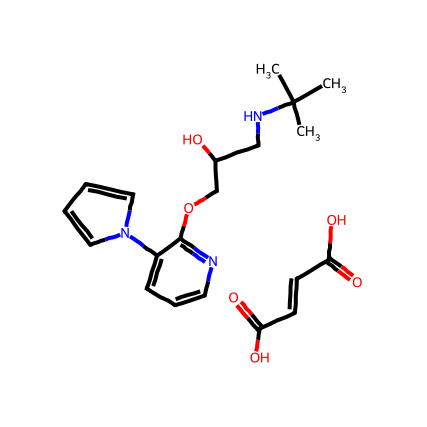 CC(C)(C)NCC(O)COc1ncccc1-n1cccc1.O=C(O)C=CC(=O)O